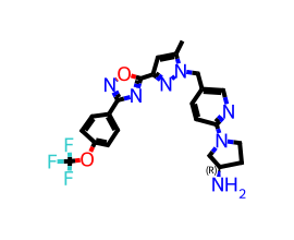 Cc1cc(-c2nc(-c3ccc(OC(F)(F)F)cc3)no2)nn1Cc1ccc(N2CC[C@@H](N)C2)nc1